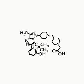 CC(C)(C)c1c(O)cccc1-c1cc2c(nn1)c(N)nn2C1CCN(CC2CCN(CC(=O)O)CC2)CC1